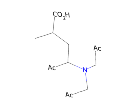 CC(=O)CN(CC(C)=O)C(CC(C)C(=O)O)C(C)=O